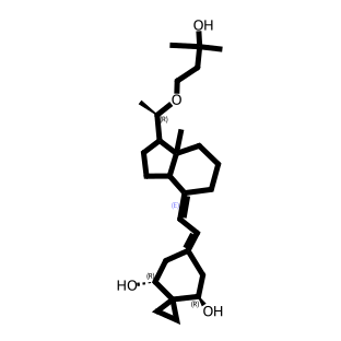 C[C@@H](OCCC(C)(C)O)C1CCC2/C(=C/C=C3C[C@@H](O)C4(CC4)[C@H](O)C3)CCCC21C